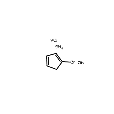 Cl.Cl.[SiH4].[Zr][C]1=CC=CC1